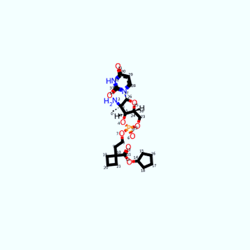 C[C@@]1(N)[C@@H]2OP(=O)(OCCC3(C(=O)OC4CCCC4)CCC3)OC[C@H]2O[C@H]1n1ccc(=O)[nH]c1=O